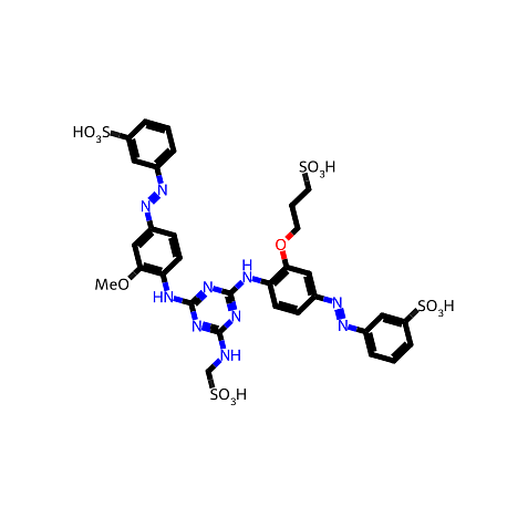 COc1cc(N=Nc2cccc(S(=O)(=O)O)c2)ccc1Nc1nc(NCS(=O)(=O)O)nc(Nc2ccc(N=Nc3cccc(S(=O)(=O)O)c3)cc2OCCCS(=O)(=O)O)n1